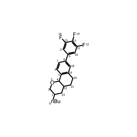 CCCCC1COC2c3ccc(-c4cc(F)c(F)c(F)c4)cc3CCC2C1